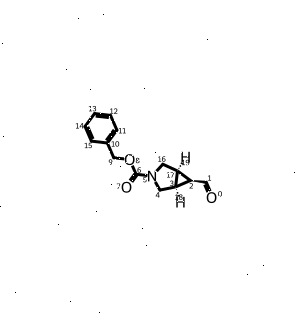 O=C[C@H]1[C@H]2CN(C(=O)OCc3ccccc3)C[C@@H]12